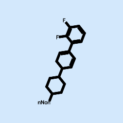 CCCCCCCCCC1CCC(C2C=CC(c3cccc(F)c3F)=CC2)CC1